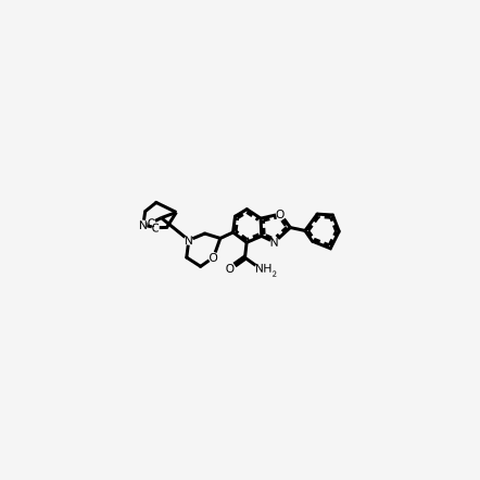 NC(=O)c1c(C2CN(C3CN4CCC3CC4)CCO2)ccc2oc(-c3ccccc3)nc12